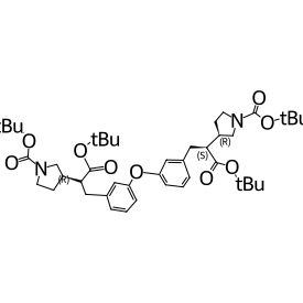 CC(C)(C)OC(=O)C(Cc1cccc(Oc2cccc(C[C@H](C(=O)OC(C)(C)C)[C@H]3CCN(C(=O)OC(C)(C)C)C3)c2)c1)[C@H]1CCN(C(=O)OC(C)(C)C)C1